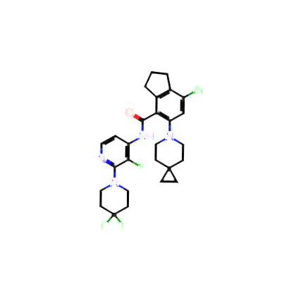 O=C(Nc1ccnc(N2CCC(F)(F)CC2)c1F)c1c(N2CCC3(CC2)CC3)cc(Br)c2c1CCC2